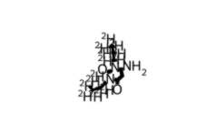 [2H]C([2H])([2H])C([2H])([2H])C([2H])([2H])n1c(N)cc(=O)n(C([2H])([2H])C([2H])([2H])C([2H])([2H])[2H])c1=O